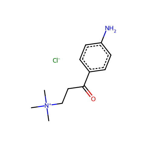 C[N+](C)(C)CCC(=O)c1ccc(N)cc1.[Cl-]